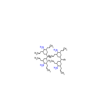 C=CCC1CC(C(CC)C2CC(CC=C)C(N)C(CC=C)C2)CC(CC=C)C1N.C=CCC1CC(C(CCC)C2CC(CC=C)C(N)C(CC=C)C2)CC(CC=C)C1N